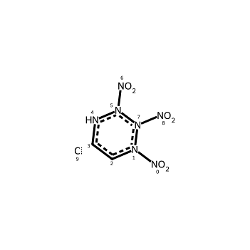 O=[N+]([O-])n1cc[nH]n([N+](=O)[O-])n1[N+](=O)[O-].[C]